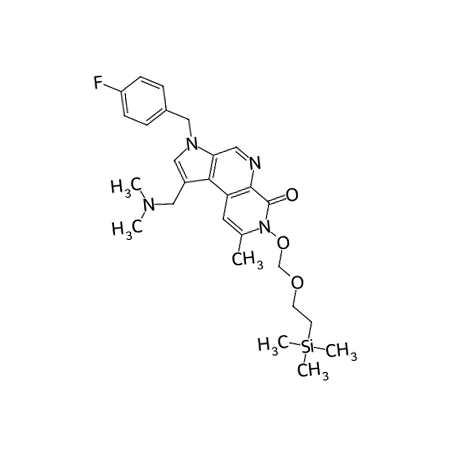 Cc1cc2c(ncc3c2c(CN(C)C)cn3Cc2ccc(F)cc2)c(=O)n1OCOCC[Si](C)(C)C